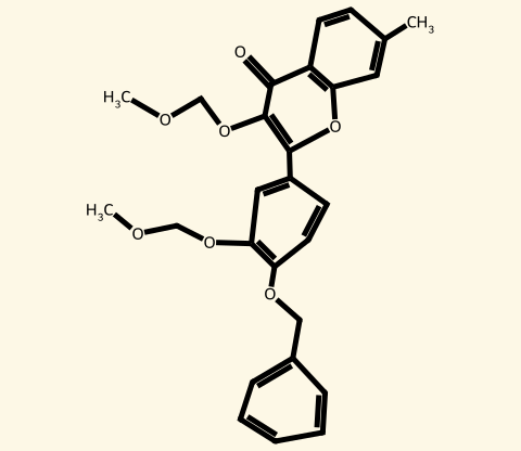 COCOc1cc(-c2oc3cc(C)ccc3c(=O)c2OCOC)ccc1OCc1ccccc1